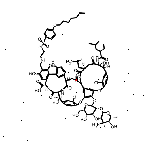 CCCCCCCOc1ccc(S(=O)(=O)NCCNCc2c(O)cc3c(c2O)-c2cc(ccc2O)[C@H]2CC(=O)[C@@H]4NC(=O)[C@H](CC(N)=O)CC(=O)[C@H](NC(=O)[C@H](CC)CC(C)C)[C@H](O)c5ccc(c(Cl)c5)Oc5cc4cc(c5O[C@@H]4O[C@H](CO)[C@@H](O)[C@H](O)[C@H]4O[C@H]4C[C@](C)(N)[C@H](O)[C@H](C)O4)Oc4ccc(cc4Cl)[C@@H](O)[C@H](NC2=O)C(=O)N[C@@H]3C(=O)O)cc1